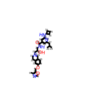 Cc1ncoc1COc1ccc2c(c1)CCN(C[C@@H](O)CNC(=O)c1cc(CC(C)C)nc(NC3CCC3)c1)C2